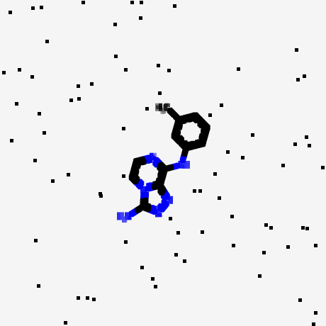 Cc1cccc(Nc2nccn3c(N)nnc23)c1